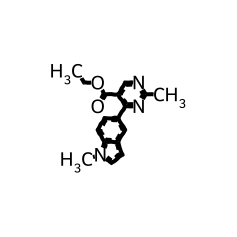 CCOC(=O)c1cnc(C)nc1-c1ccc2c(ccn2C)c1